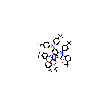 CC(C)(C)c1ccc(-c2cc(C(C)(C)C)ccc2N2c3ccc(C(C)(C)C)cc3B3c4oc5c(C(C)(C)C)cccc5c4N(c4ccc(C(C)(C)C)cc4)c4cc(N(c5ccc(C(C)(C)C)cc5)c5ccc(C(C)(C)C)cc5)cc2c43)cc1